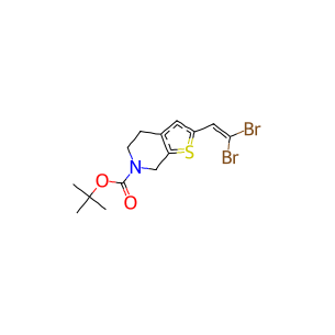 CC(C)(C)OC(=O)N1CCc2cc(C=C(Br)Br)sc2C1